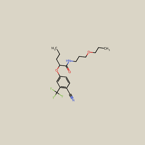 CCCOCCCNC(=O)C(CCC)Oc1ccc(C#N)c(C(F)(F)F)c1